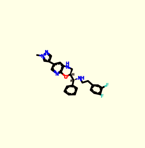 Cn1cc(-c2cnc3c(c2)NC[C@@H]([C@H](NCCc2ccc(F)c(F)c2)c2ccccc2)O3)cn1